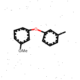 COc1cccc(Oc2cccc(C)c2)c1